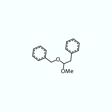 COC(Cc1ccccc1)OCc1ccccc1